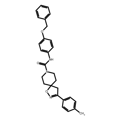 Cc1ccc(C2=NOC3(CCN(C(=O)Nc4ccc(OCc5ccccc5)cc4)CC3)C2)cc1